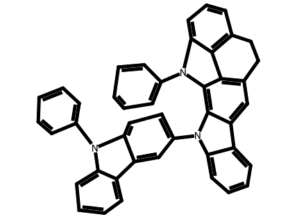 c1ccc(-n2c3ccccc3c3cc(-n4c5ccccc5c5cc6c7c8c(cccc8n(-c8ccccc8)c7c54)CC6)ccc32)cc1